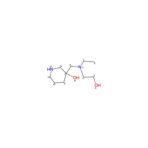 CCN(CCO)CC1(O)CCCNC1